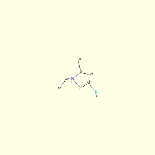 CCN1CC(F)CC1C